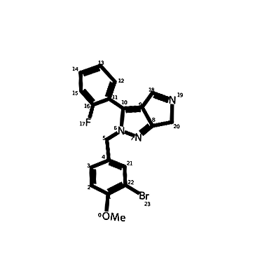 COc1ccc(Cn2nc3c(c2-c2ccccc2F)C=NC3)cc1Br